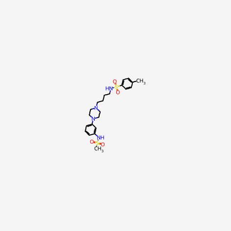 Cc1ccc(S(=O)(=O)NCCCCN2CCN(c3cccc(NS(C)(=O)=O)c3)CC2)cc1